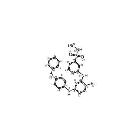 CCc1cnc(Nc2ccc(Oc3ccccc3)cc2)nc1Nc1cccc(S(=O)(=O)NC(C)(C)C)c1